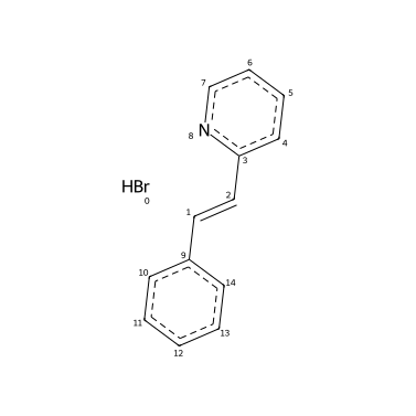 Br.C(=Cc1ccccn1)c1ccccc1